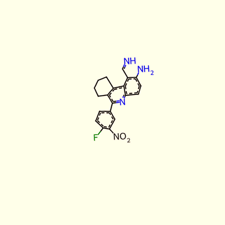 N=Cc1c(N)ccc2nc(-c3ccc(F)c([N+](=O)[O-])c3)c3c(c12)CCCC3